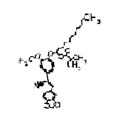 C=C(C)C(=O)OC(CCCCCCCCCC)Oc1ccc(/C(C#N)=C/c2ccc3c(c2)OCO3)cc1OC